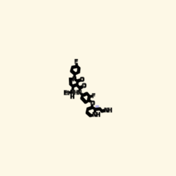 CCNc1ccn(-c2ccc(F)cc2)c(=O)c1C(=O)Nc1ccc(OC2=CC=CN/C2=C\C=N)c(F)c1